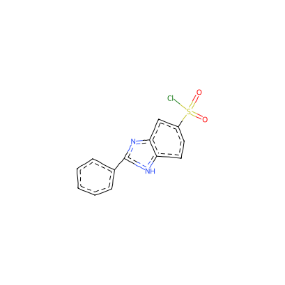 O=S(=O)(Cl)c1ccc2[nH]c(-c3ccccc3)nc2c1